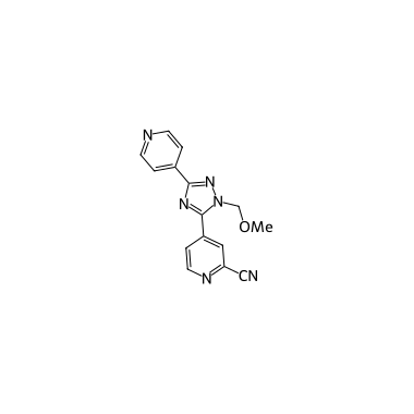 COCn1nc(-c2ccncc2)nc1-c1ccnc(C#N)c1